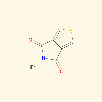 CC(C)N1C(=O)c2cscc2C1=O